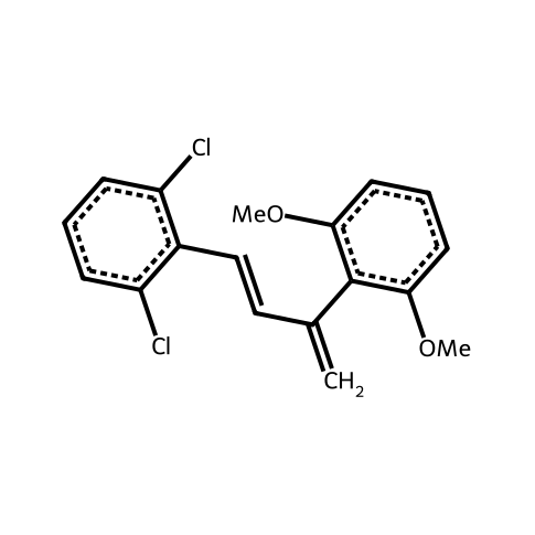 C=C(/C=C/c1c(Cl)cccc1Cl)c1c(OC)cccc1OC